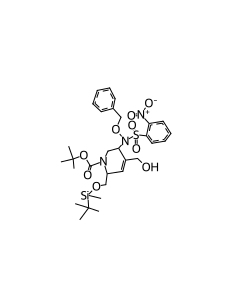 CC(C)(C)OC(=O)N1CC(N(OCc2ccccc2)S(=O)(=O)c2ccccc2[N+](=O)[O-])C(CO)=CC1CO[Si](C)(C)C(C)(C)C